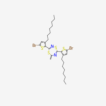 C=C1N=C(c2sc(Br)cc2CCCCCCCC)SN=C(c2sc(Br)cc2CCCCCCCC)S1